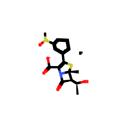 C[C@@H](O)[C@H]1C(=O)N2C(C(=O)[O-])=C(c3cccc([S+](C)[O-])c3)S[C@H]12.[K+]